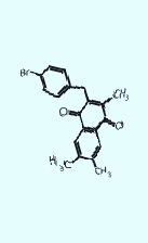 CC1=C(Cc2ccc(Br)cc2)C(=O)c2cc(C)c(C)cc2C1=O